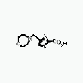 O=C(O)c1nc(CN2CCOCC2)cs1